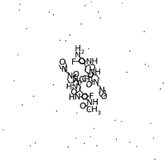 CC(=O)Nc1cc2c(cc1F)C(=Cc1[nH]c3c(c1C)C(=O)N(CCN1CCOCC1)CC3)C(=O)N2.Cc1c(C=C2C(=O)Nc3cc(N)c(F)cc32)[nH]c2c1C(=O)N(CCN1CCOCC1)CC2